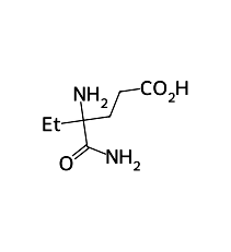 CCC(N)(CCC(=O)O)C(N)=O